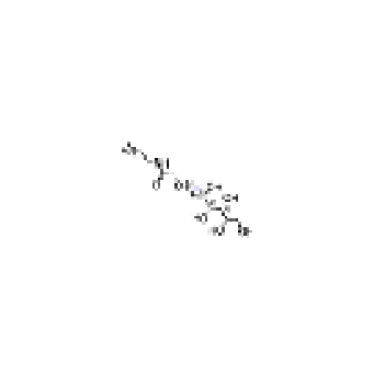 O=C(CO/N=C/[C@@H](O)[C@@H](O)[C@H](O)C(O)CO)NCCNI